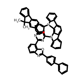 CC1(C)c2ccccc2-c2ccc(-c3nc(-c4cccc5nc(-c6ccc(-c7ccccc7)cc6)oc45)nc(-n4c5ccccc5c5ccc6c7ccccc7n(-c7ccccc7)c6c54)n3)cc21